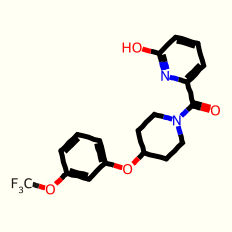 O=C(c1cccc(O)n1)N1CCC(Oc2cccc(OC(F)(F)F)c2)CC1